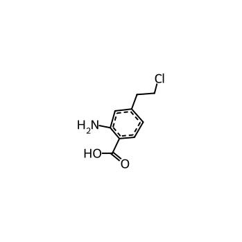 Nc1cc(CCCl)ccc1C(=O)O